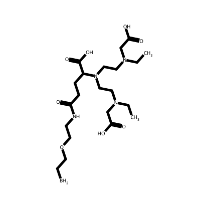 BCCOCCNC(=O)CCC(C(=O)O)N(CCN(CC)CC(=O)O)CCN(CC)CC(=O)O